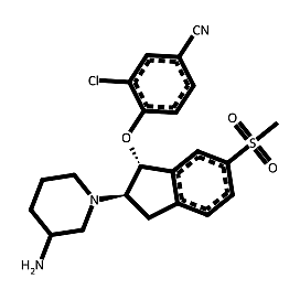 CS(=O)(=O)c1ccc2c(c1)[C@@H](Oc1ccc(C#N)cc1Cl)[C@H](N1CCCC(N)C1)C2